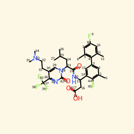 Cc1cc(-c2c(C)cc(F)cc2C)cc(C(CC(=O)O)NC(=O)C(CC(C)C)n2cc(CCN(C)C)c(C(F)(F)F)nc2=O)c1F